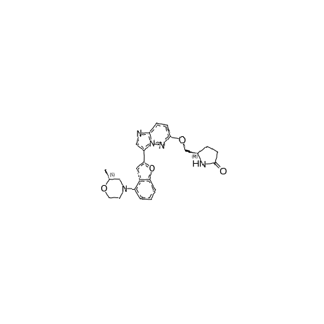 C[C@H]1CN(c2cccc3oc(-c4cnc5ccc(OC[C@H]6CCC(=O)N6)nn45)cc23)CCO1